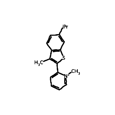 Cc1c(-c2cccc[n+]2C)sc2cc(C(C)C)ccc12